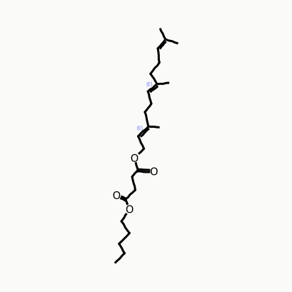 CCCCCOC(=O)CCC(=O)OC/C=C(\C)CC/C=C(\C)CCC=C(C)C